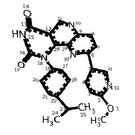 COc1ccc(-c2ccc3ncc4c(=O)[nH]c(=O)n(-c5ccc(C(C)C)cc5)c4c3n2)cn1